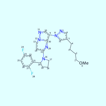 COCCCCc1cnn(-c2cnn3ccc(N4CCCC4c4cc(F)ccc4F)nc23)c1